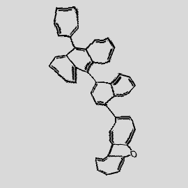 c1ccc(-c2c3ccccc3c(-c3ccc(-c4ccc5oc6ccccc6c5c4)c4ccccc34)c3ccccc23)cc1